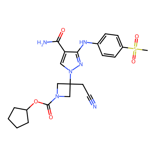 CS(=O)(=O)c1ccc(Nc2nn(C3(CC#N)CN(C(=O)OC4CCCC4)C3)cc2C(N)=O)cc1